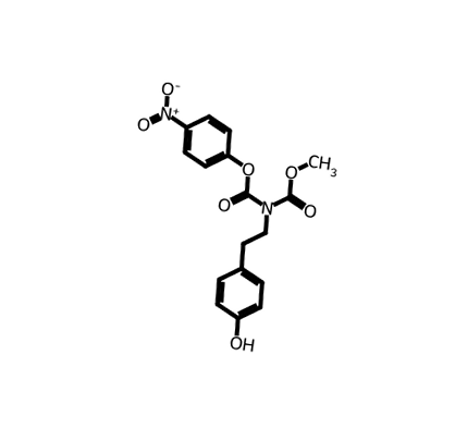 COC(=O)N(CCc1ccc(O)cc1)C(=O)Oc1ccc([N+](=O)[O-])cc1